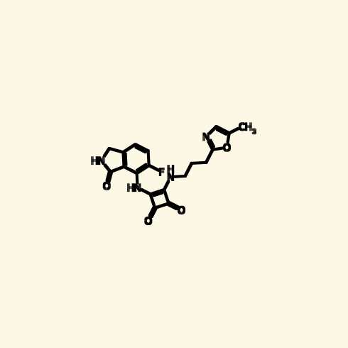 Cc1cnc(CCCNc2c(Nc3c(F)ccc4c3C(=O)NC4)c(=O)c2=O)o1